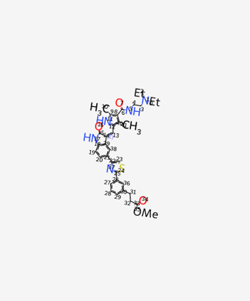 CCN(CC)CCNC(=O)c1c(C)[nH]c(/C=C2\C(=O)Nc3ccc(-c4csc(-c5cccc(CCC(=O)OC)c5)n4)cc32)c1C